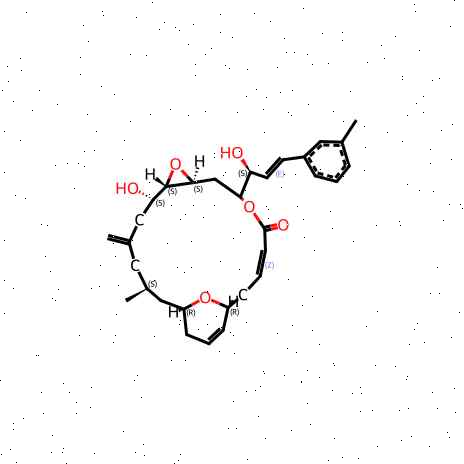 C=C1C[C@H](C)C[C@@H]2CC=C[C@@H](C/C=C\C(=O)OC([C@@H](O)/C=C/c3cccc(C)c3)C[C@@H]3O[C@H]3[C@@H](O)C1)O2